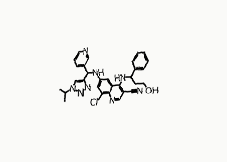 CC(C)n1cc(C(Nc2cc(Cl)c3ncc(C#N)c(NC(CCO)c4ccccc4)c3c2)c2cccnc2)nn1